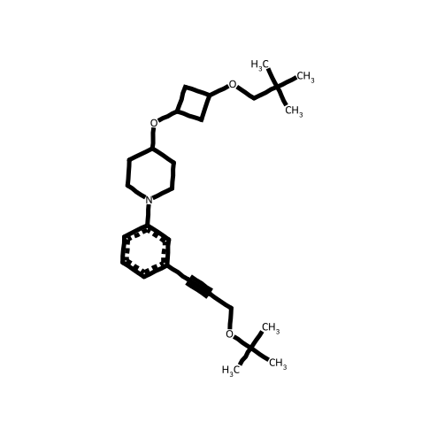 CC(C)(C)COC1CC(OC2CCN(c3cccc(C#CCOC(C)(C)C)c3)CC2)C1